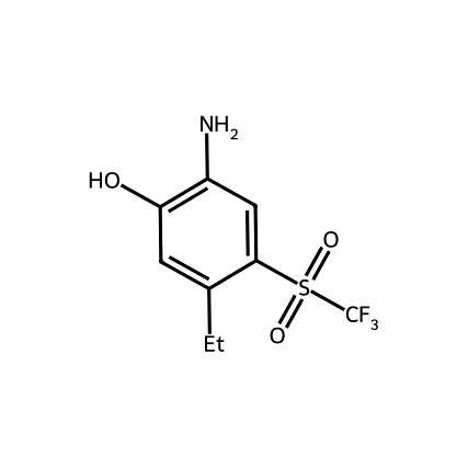 CCc1cc(O)c(N)cc1S(=O)(=O)C(F)(F)F